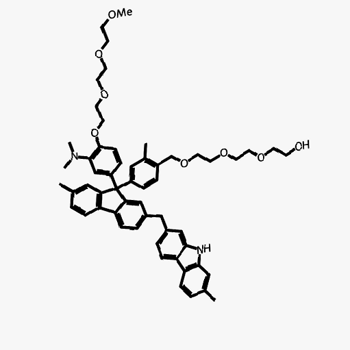 COCCOCCOCCOc1ccc(C2(c3ccc(COCCOCCOCCO)c(C)c3)c3cc(C)ccc3-c3ccc(Cc4ccc5c(c4)[nH]c4cc(C)ccc45)cc32)cc1N(C)C